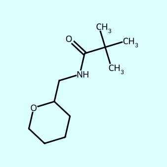 CC(C)(C)C(=O)NCC1CCCCO1